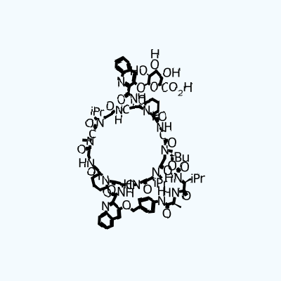 CC(C)[C@H](NC(=O)OC(C)(C)C)C(=O)N[C@@H](C)C(=O)Nc1ccc(COc2cc3ccccc3nc2C(=O)N[C@@H]2CNC(=O)[C@H](C(C)C)N(C)C(=O)CN(C)C(=O)CNC(=O)[C@@H]3CCCCN3C(=O)[C@H](NC(=O)c3nc4ccccc4cc3O[C@@H]3O[C@H](C(=O)O)[C@@H](O)[C@H](O)[C@H]3O)CNC(=O)[C@H](C(C)C)N(C)C(=O)CN(C)C(=O)CNC(=O)[C@@H]3CCCCN3C2=O)cc1